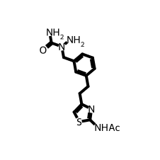 CC(=O)Nc1nc(CCc2cccc(CN(N)C(N)=O)c2)cs1